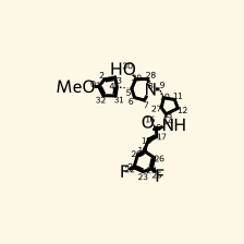 COc1ccc([C@H]2CCN(C[C@@H]3CC[C@H](NC(=O)C=Cc4cc(F)cc(F)c4)C3)C[C@H]2O)cc1